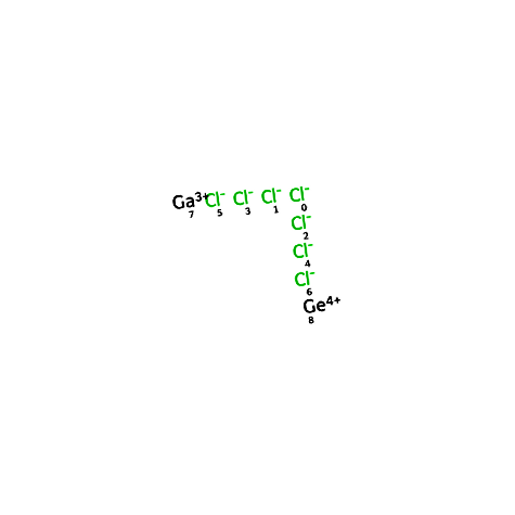 [Cl-].[Cl-].[Cl-].[Cl-].[Cl-].[Cl-].[Cl-].[Ga+3].[Ge+4]